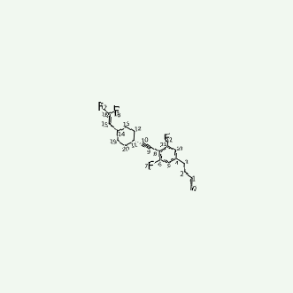 C=CCCc1cc(F)c(C#C[C@H]2CC[C@H](C=C(F)F)CC2)c(F)c1